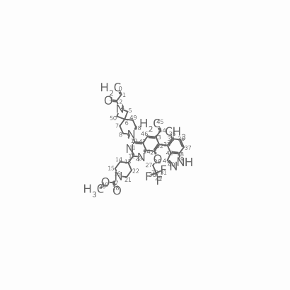 C=CC(=O)N1CC2(CCN(c3nc(C4CCN(C(=O)OC)CC4)nc4c(OCC(F)(F)F)c(-c5c(C)ccc6[nH]ncc56)c(C=C)cc34)CC2)C1